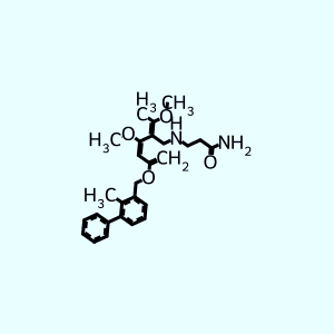 C=C(/C=C(OC)\C(CNCCC(N)=O)=C(/C)OC)OCc1cccc(-c2ccccc2)c1C